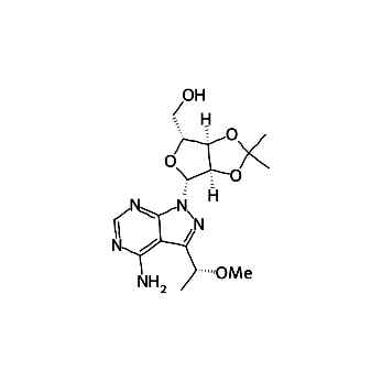 CO[C@H](C)c1nn([C@@H]2O[C@H](CO)[C@H]3OC(C)(C)O[C@H]32)c2ncnc(N)c12